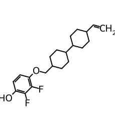 C=CC1CCC(C2CCC(COc3ccc(O)c(F)c3F)CC2)CC1